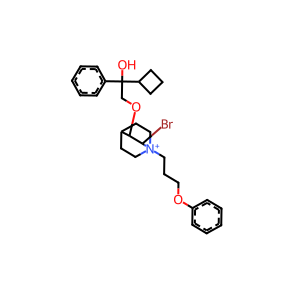 OC(COC1C2CC[N+](CCCOc3ccccc3)(CC2)C1Br)(c1ccccc1)C1CCC1